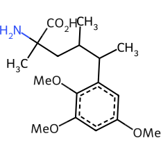 COc1cc(OC)c(OC)c(C(C)C(C)CC(C)(N)C(=O)O)c1